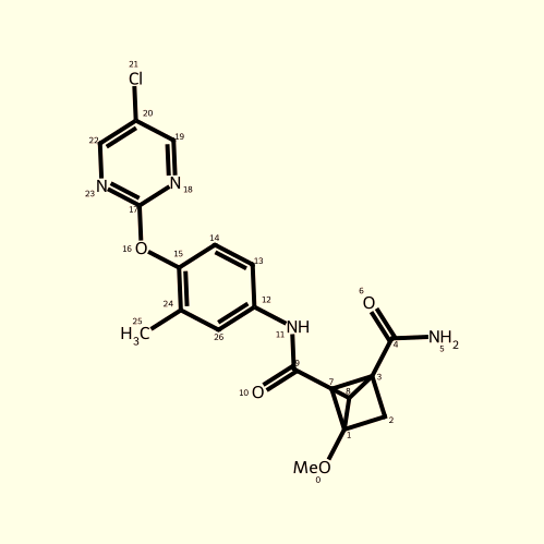 COC12CC(C(N)=O)(C1)C2C(=O)Nc1ccc(Oc2ncc(Cl)cn2)c(C)c1